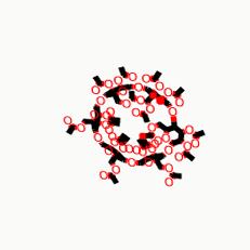 CC(=O)OCC1OC2OC3C(COC(C)=O)OC(OC4C(COC(C)=O)OC(OC5C(COC(C)=O)OC(OC6C(COC(C)=O)OC(OC7C(COC(C)=O)OC(OC1C(OC(C)=O)C2OC(C)=O)C(OC(C)=O)C7OC(C)=O)C(OC(C)=O)C6OC(C)=O)C(OC(C)=O)C5OC(C)=O)C(OC(C)=O)C4OC(C)=O)C(OC(C)=O)C3OC(C)=O